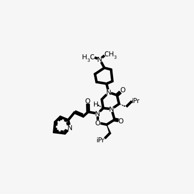 CC(C)C[C@H]1ON(C(=O)/C=C/c2ccccn2)[C@H]2CN(C3CCC(N(C)C)CC3)C(=O)[C@H](CC(C)C)N2C1=O